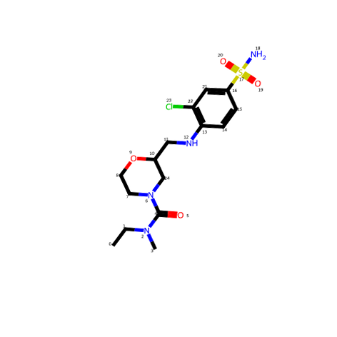 CCN(C)C(=O)N1CCOC(CNc2ccc(S(N)(=O)=O)cc2Cl)C1